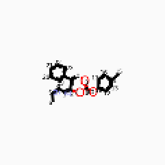 C=C(/C(=C\C=C/C)OC(=O)Oc1ccc(C)cc1)c1ccccc1